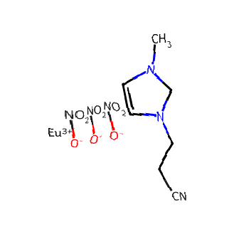 CN1C=CN(CCC#N)C1.O=[N+]([O-])[O-].O=[N+]([O-])[O-].O=[N+]([O-])[O-].[Eu+3]